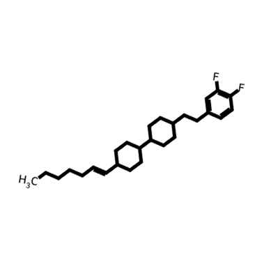 CCCCCC=CC1CCC(C2CCC(CCc3ccc(F)c(F)c3)CC2)CC1